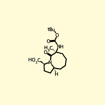 CC(C)(C)OC(=O)N[C@@]1(C)CCCC[C@H]2CC[C@@H](C(=O)O)N2C1=O